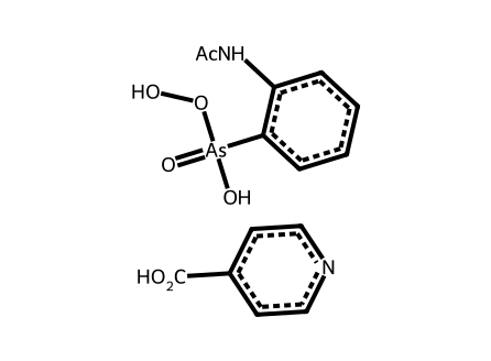 CC(=O)Nc1ccccc1[As](=O)(O)OO.O=C(O)c1ccncc1